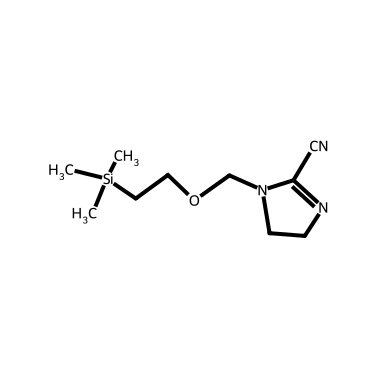 C[Si](C)(C)CCOCN1CCN=C1C#N